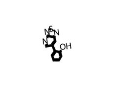 Oc1ccccc1-c1cnc2nsnc2c1